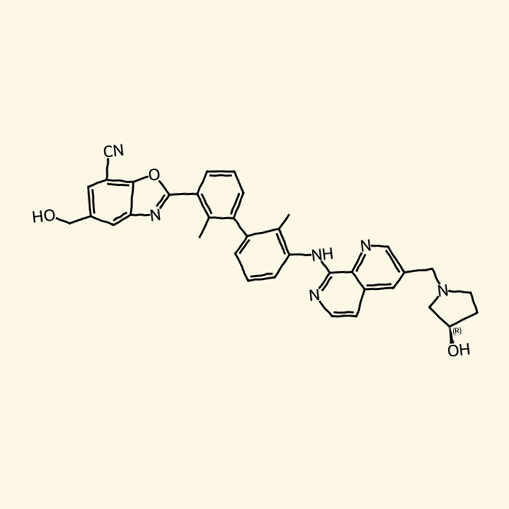 Cc1c(Nc2nccc3cc(CN4CC[C@@H](O)C4)cnc23)cccc1-c1cccc(-c2nc3cc(CO)cc(C#N)c3o2)c1C